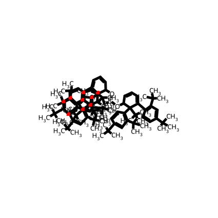 CC(C)(C)c1ccc(C2=CC=CC(OP(OC3C=CC=C(c4ccc(C(C)(C)C)cc4C(C)(C)C)C3(c3ccc(C(C)(C)C)cc3C(C)(C)C)C(C)(C)C)OC3C=CC=C(c4ccc(C(C)(C)C)cc4C(C)(C)C)C3(c3ccc(C(C)(C)C)cc3C(C)(C)C)C(C)(C)C)C2(c2ccc(C(C)(C)C)cc2C(C)(C)C)C(C)(C)C)c(C(C)(C)C)c1